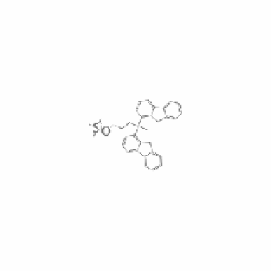 CC(CCCO[Si](C)(C)C)(c1cccc2c1Cc1ccccc1-2)c1cccc2c1Cc1ccccc1-2